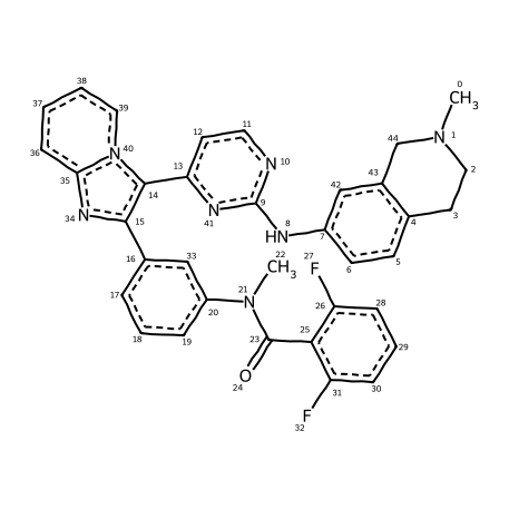 CN1CCc2ccc(Nc3nccc(-c4c(-c5cccc(N(C)C(=O)c6c(F)cccc6F)c5)nc5ccccn45)n3)cc2C1